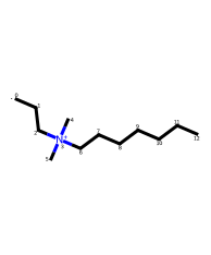 [CH2]CC[N+](C)(C)CCCCCCC